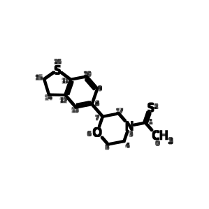 CC(=S)N1CCOC(c2ccc3c(c2)CCS3)C1